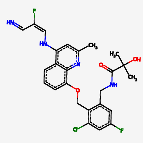 Cc1cc(N/C=C(/F)C=N)c2cccc(OCc3c(Cl)cc(F)cc3CNC(=O)C(C)(C)O)c2n1